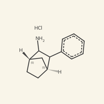 Cl.NC1C(c2ccccc2)[C@H]2CC[C@H]1C2